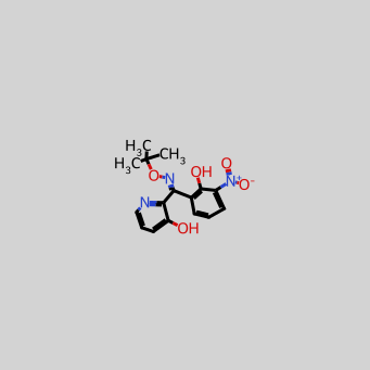 CC(C)(C)O/N=C(/c1cccc([N+](=O)[O-])c1O)c1ncccc1O